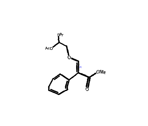 CCCC(CO/C=C(/C(=O)OC)c1ccccc1)OC(C)=O